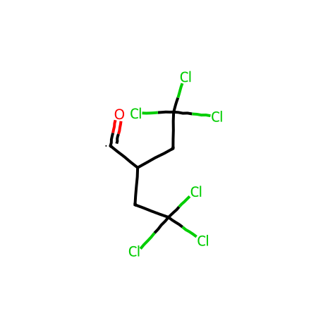 O=[C]C(CC(Cl)(Cl)Cl)CC(Cl)(Cl)Cl